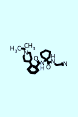 CC(C)N1CCC(c2ccccc2C(=O)NC2(C(=O)NCC#N)CCCCC2)CC1